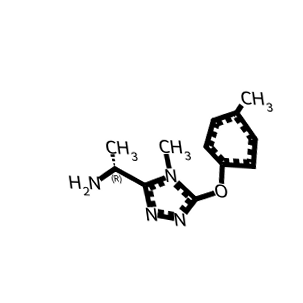 Cc1ccc(Oc2nnc([C@@H](C)N)n2C)cc1